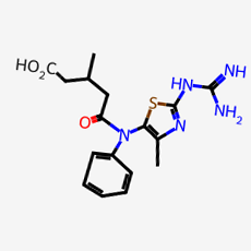 Cc1nc(NC(=N)N)sc1N(C(=O)CC(C)CC(=O)O)c1ccccc1